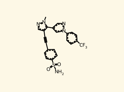 Cn1ncc(C#Cc2ccc(S(N)(=O)=O)cc2)c1-c1cnn(-c2ccc(C(F)(F)F)cc2)c1